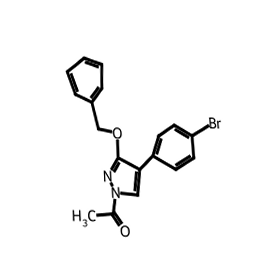 CC(=O)n1cc(-c2ccc(Br)cc2)c(OCc2ccccc2)n1